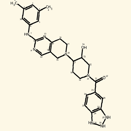 Cc1cc(C)cc(Nc2ncc3c(n2)CCN(C2CCN(C(=O)c4ccc5c(c4)NNN5)CC2O)C3)c1